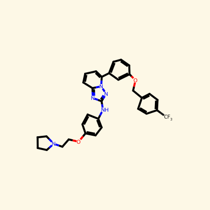 FC(F)(F)c1ccc(COc2cccc(-c3cccc4nc(Nc5ccc(OCCN6CCCC6)cc5)nn34)c2)cc1